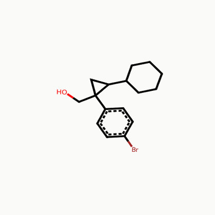 OCC1(c2ccc(Br)cc2)CC1C1CCCCC1